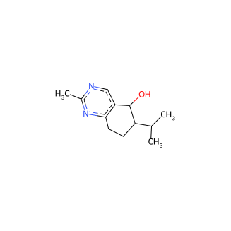 Cc1ncc2c(n1)CCC(C(C)C)C2O